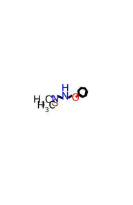 CCN(CCNCCOC1=CC=CCCC1)SC